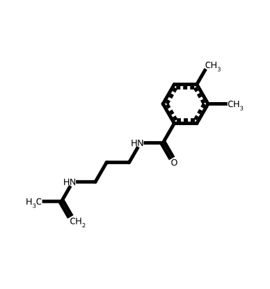 C=C(C)NCCCNC(=O)c1ccc(C)c(C)c1